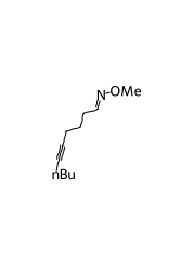 [CH2]CCCC#CCCCC=NOC